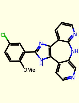 COc1ccc(Cl)cc1-c1nc2c([nH]1)-c1ccncc1Nc1ncccc1-2